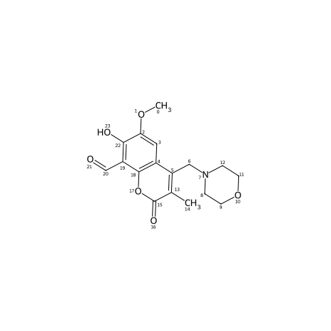 COc1cc2c(CN3CCOCC3)c(C)c(=O)oc2c(C=O)c1O